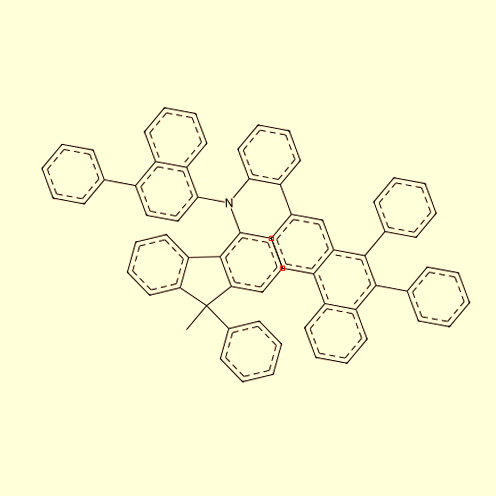 CC1(c2ccccc2)c2ccccc2-c2c(N(c3ccccc3-c3ccc4c(c3)c(-c3ccccc3)c(-c3ccccc3)c3ccccc34)c3ccc(-c4ccccc4)c4ccccc34)cccc21